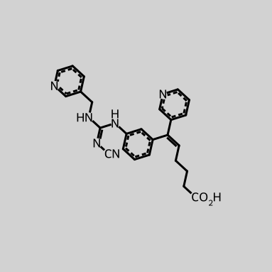 N#C/N=C(/NCc1cccnc1)Nc1cccc(/C(=C\CCCC(=O)O)c2cccnc2)c1